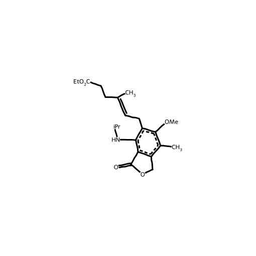 CCOC(=O)CC/C(C)=C/Cc1c(NC(C)C)c2c(c(C)c1OC)COC2=O